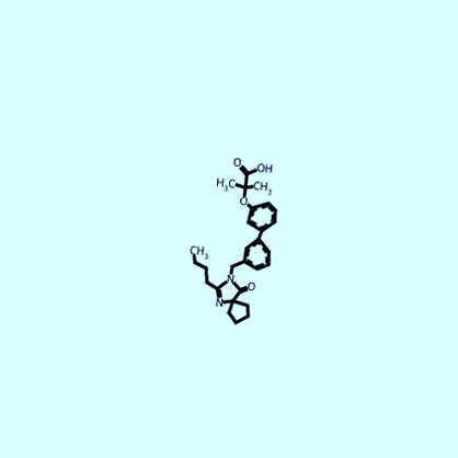 CCCCC1=NC2(CCCC2)C(=O)N1Cc1cccc(-c2cccc(OC(C)(C)C(=O)O)c2)c1